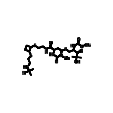 CCC(C)(C)NCCSC1CCC1SCCNC(=O)C(CSSCC(NC(=O)OC(C)(C)C)C(=O)C(C)(C)O)NC(=O)OC(C)(C)C